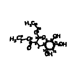 CCOC(=O)C(Cc1cc(O)c(O)cc1O)C(=O)OCC